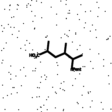 CCCCCC(C)C(C)CC(C)C(=O)O